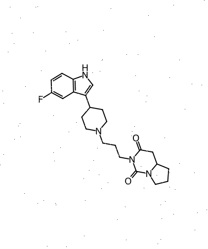 O=C1CC2CCCN2C(=O)N1CCCN1CCC(c2c[nH]c3ccc(F)cc23)CC1